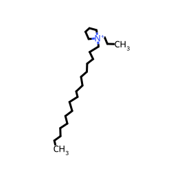 CCCCCCCCCCCCCCCCC[N+]1(CCC)CCCC1